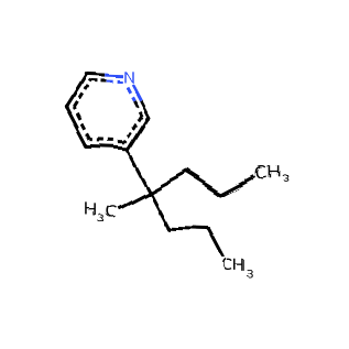 CCCC(C)(CCC)c1cccnc1